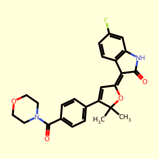 CC1(C)OC(=C2C(=O)Nc3cc(F)ccc32)C=C1c1ccc(C(=O)N2CCOCC2)cc1